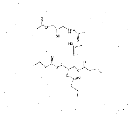 CC(=O)O.CC(=O)O.CC(=O)OCC(O)CO.CCCC(=O)OCC(COC(=O)CCC)OC(=O)CCC